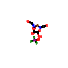 O=C(O)C(=O)O.O=C=NSN=C=O.O=P(F)(F)F